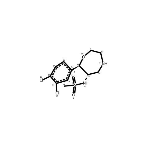 CS(=O)(=O)N[C@H]1CNCCO[C@@H]1c1ccc(Cl)c(Cl)c1